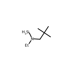 CCN([SiH3])CC(C)(C)C